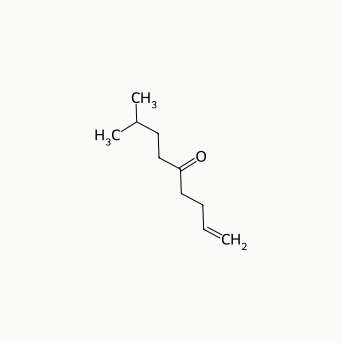 C=CCCC(=O)CCC(C)C